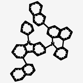 c1ccc(-c2ccccc2N(c2cccc(-c3ccc4ccccc4c3)c2)c2ccc3c4c(-c5cccc6ccccc56)cccc4n(-c4ccccc4)c3c2)cc1